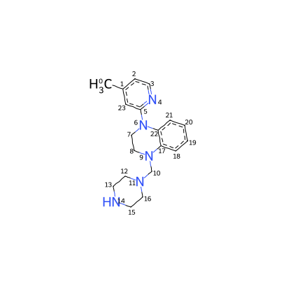 Cc1ccnc(N2CCN(CN3CCNCC3)c3ccccc32)c1